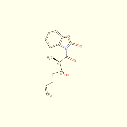 C=CCC[C@H](O)[C@@H](C)C(=O)n1c(=O)oc2ccccc21